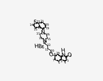 Br.O=c1ccc2ccc(OCCCCN3CCN(c4cccc5sccc45)CC3)cc2[nH]1